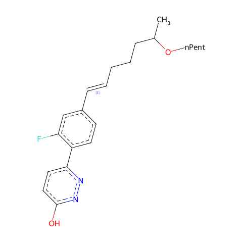 CCCCCOC(C)CCC/C=C/c1ccc(-c2ccc(O)nn2)c(F)c1